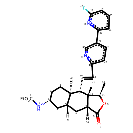 CCOC(=O)N[C@@H]1CC[C@@H]2[C@@H](C1)C[C@H]1C(=O)O[C@H](C)[C@H]1[C@H]2/C=C/c1ccc(-c2cccc(F)n2)cn1